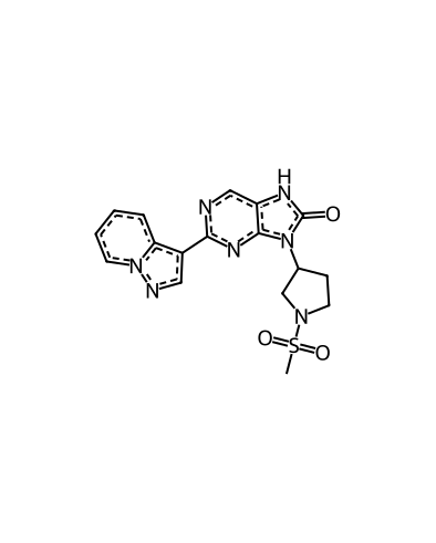 CS(=O)(=O)N1CCC(n2c(=O)[nH]c3cnc(-c4cnn5ccccc45)nc32)C1